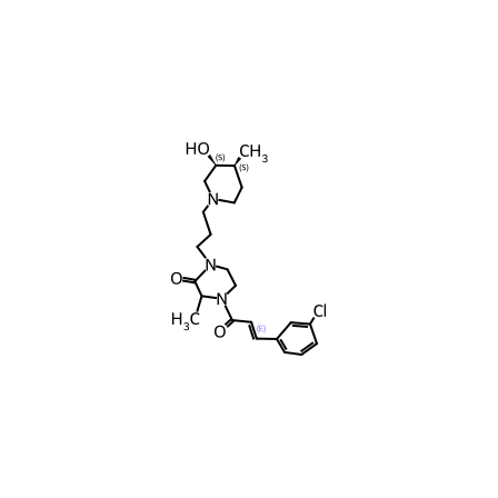 CC1C(=O)N(CCCN2CC[C@H](C)[C@H](O)C2)CCN1C(=O)/C=C/c1cccc(Cl)c1